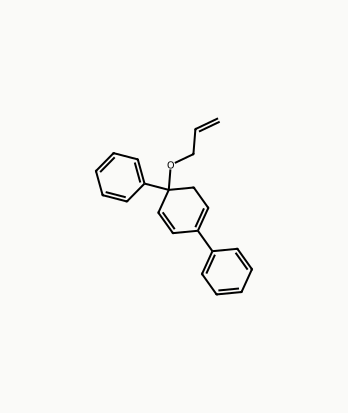 C=CCOC1(c2ccccc2)C=CC(c2ccccc2)=CC1